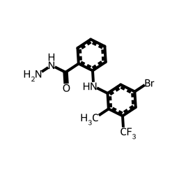 Cc1c(Nc2ccccc2C(=O)NN)cc(Br)cc1C(F)(F)F